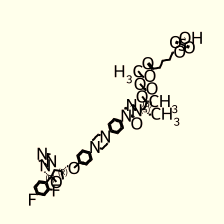 CC[C@@H]([C@H](C)OC(=O)OC(C)OC(=O)CCCCOS(=O)(=O)O)n1ncn(-c2ccc(N3CCN(c4ccc(OC[C@@H]5CO[C@@](Cn6cncn6)(c6ccc(F)cc6F)C5)cc4)CC3)cc2)c1=O